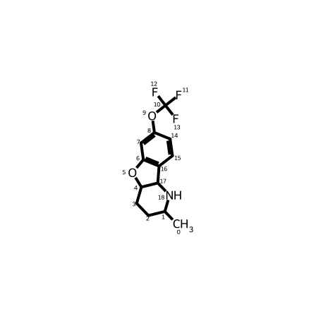 CC1CCC2Oc3cc(OC(F)(F)F)ccc3C2N1